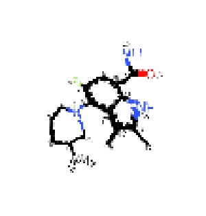 CNC1CCCN(c2c(F)cc(C(N)=O)c3[nH]c(C)c(C)c23)C1